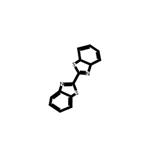 C1=CC2N=C(c3nc4ccccc4s3)SC2C=C1